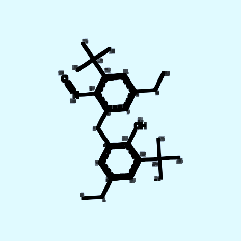 CCc1cc(Cc2cc(CC)cc(C(C)(C)C)c2N=O)c(O)c(C(C)(C)C)c1